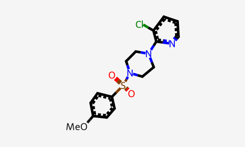 COc1ccc(S(=O)(=O)N2CCN(c3ncccc3Cl)CC2)cc1